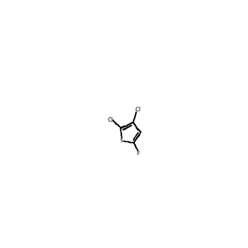 Fc1cc(Cl)c(Cl)s1